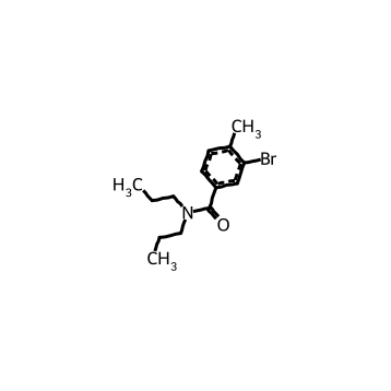 CCCN(CCC)C(=O)c1ccc(C)c(Br)c1